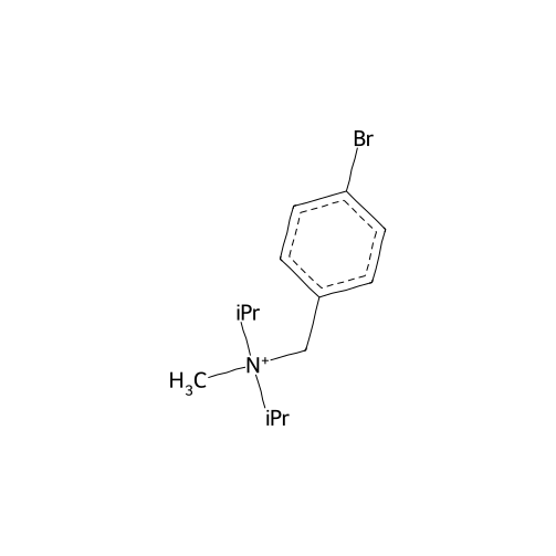 CC(C)[N+](C)(Cc1ccc(Br)cc1)C(C)C